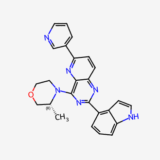 C[C@@H]1COCCN1c1nc(-c2cccc3[nH]ccc23)nc2ccc(-c3cccnc3)nc12